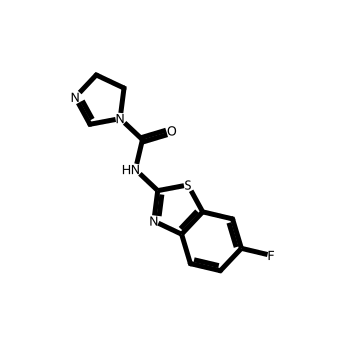 O=C(Nc1nc2ccc(F)cc2s1)N1C=NCC1